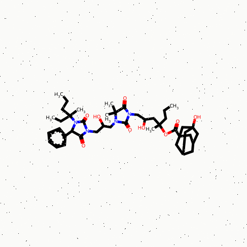 CCCC(C)(CC(O)CN1C(=O)N(CC(O)CN2C(=O)C(c3ccccc3)N(C(C)(CC)CCC)C2=O)C(C)(C)C1=O)OC(=O)C12CC3CC(CC(O)(C3)C1)C2